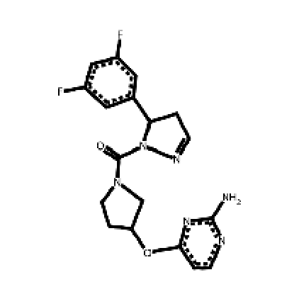 Nc1nccc(OC2CCN(C(=O)N3N=CCC3c3cc(F)cc(F)c3)C2)n1